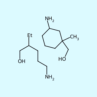 CC1(CO)CCCC(N)C1.CCC(CO)CCCN